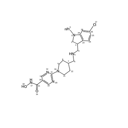 CCCN1CC(CNCC2CCN(c3ncc(C(=O)NO)cn3)CC2)c2ccc(Cl)cc21